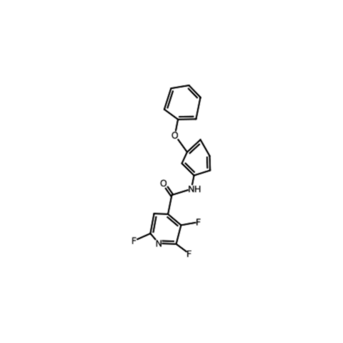 O=C(Nc1cccc(Oc2ccccc2)c1)c1cc(F)nc(F)c1F